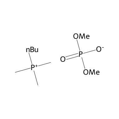 CCCC[P+](C)(C)C.COP(=O)([O-])OC